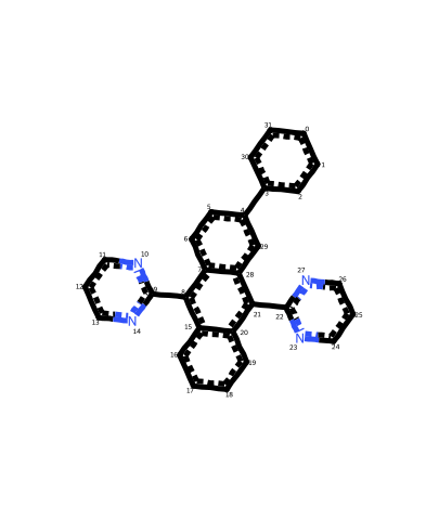 c1ccc(-c2ccc3c(-c4ncccn4)c4ccccc4c(-c4ncccn4)c3c2)cc1